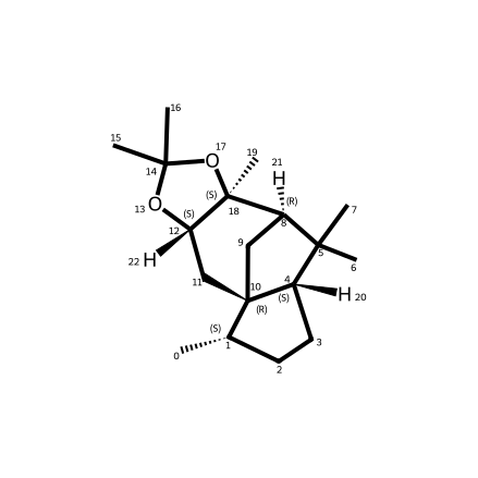 C[C@H]1CC[C@H]2C(C)(C)[C@H]3C[C@@]12C[C@@H]1OC(C)(C)O[C@]13C